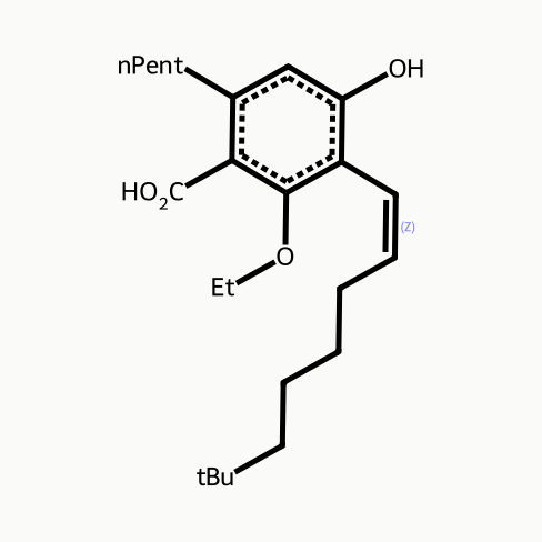 CCCCCc1cc(O)c(/C=C\CCCCC(C)(C)C)c(OCC)c1C(=O)O